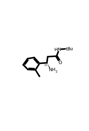 Cc1ccccc1[C@@H](N)CC(=O)NC(C)(C)C